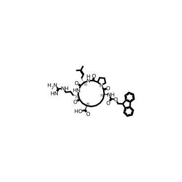 CC(C)=CC[C@@H]1NC(=O)C2CCCN2C(=O)[C@@H](NC(=O)OCC2c3ccccc3-c3ccccc32)CCCC[C@@H](C(=O)O)CC(=O)[C@H](CCCNC(=N)N)NC1=O